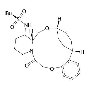 CC[C@H](C)S(=O)(=O)N[C@H]1CCCN2C(=O)COc3ccccc3[C@H]3CC[C@H](CC3)OC[C@@H]12